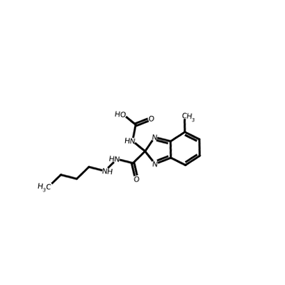 CCCCNNC(=O)C1(NC(=O)O)N=c2cccc(C)c2=N1